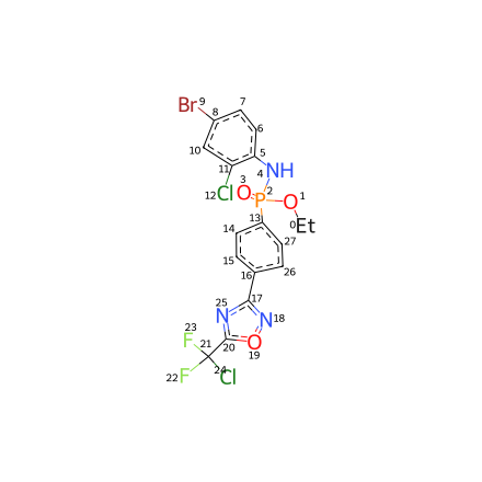 CCOP(=O)(Nc1ccc(Br)cc1Cl)c1ccc(-c2noc(C(F)(F)Cl)n2)cc1